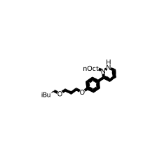 CCCCCCCCN1NC=CC=C1c1ccc(OCCCOC[C@@H](C)CC)cc1